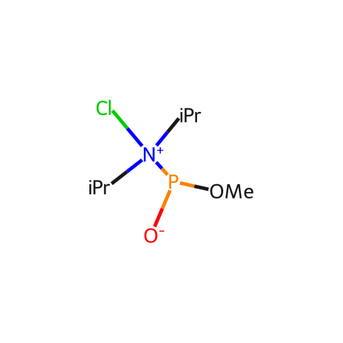 COP([O-])[N+](Cl)(C(C)C)C(C)C